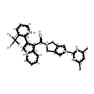 Cc1cc(C)nc(-n2cc3c(c2)CN(C(=O)c2c(-c4ncccc4C(F)(F)F)cn4ccccc24)C3)n1